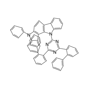 c1ccc(-c2ccccc2-c2nc(-c3ccccc3-c3ccccc3)nc(-n3c4ccccc4c4ccc5c(c6ccccc6n5-c5ccccc5)c43)n2)cc1